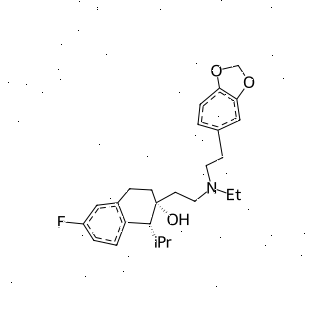 CCN(CCc1ccc2c(c1)OCO2)CC[C@]1(O)CCc2cc(F)ccc2[C@H]1C(C)C